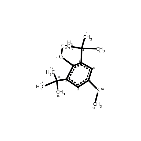 COc1c(C(C)(C)C)cc(SC)cc1C(C)(C)C